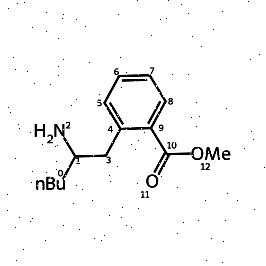 CCCCC(N)Cc1ccccc1C(=O)OC